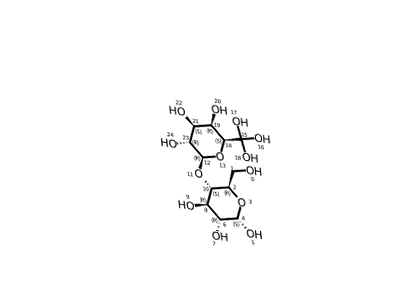 OC[C@H]1O[C@H](O)[C@H](O)[C@@H](O)[C@@H]1O[C@@H]1O[C@H](C(O)(O)O)[C@H](O)[C@H](O)[C@H]1O